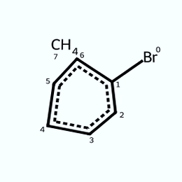 Brc1ccccc1.C